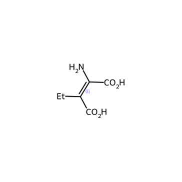 CC/C(C(=O)O)=C(\N)C(=O)O